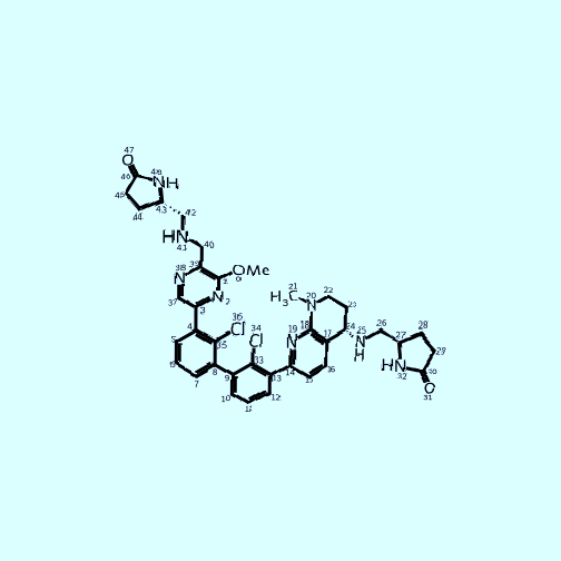 COc1nc(-c2cccc(-c3cccc(-c4ccc5c(n4)N(C)CC[C@@H]5NC[C@H]4CCC(=O)N4)c3Cl)c2Cl)cnc1CNC[C@@H]1CCC(=O)N1